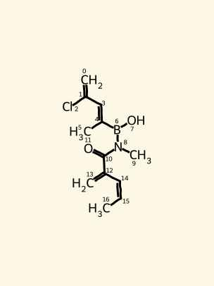 C=C(Cl)/C=C(\C)B(O)N(C)C(=O)C(=C)/C=C\C